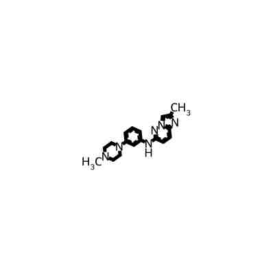 Cc1cn2nc(Nc3cccc(N4CCN(C)CC4)c3)ccc2n1